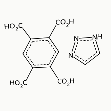 O=C(O)c1cc(C(=O)O)c(C(=O)O)cc1C(=O)O.c1c[nH]nn1